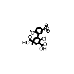 COc1ccc([N+](=O)[O-])cc1C1=CC(C)(C(=O)O)CC(C(=O)O)=C1Cl